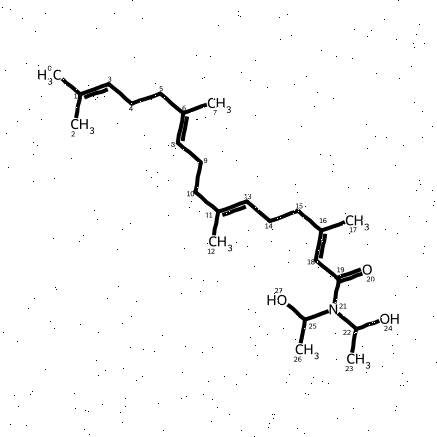 CC(C)=CCCC(C)=CCCC(C)=CCCC(C)=CC(=O)N(C(C)O)C(C)O